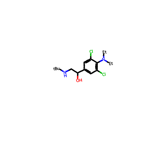 CCN(CC)c1c(Cl)cc(C(O)CNC(C)(C)C)cc1Cl